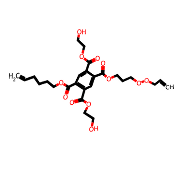 C=CCCCCOC(=O)c1cc(C(=O)OCCO)c(C(=O)OCCCOOCC=C)cc1C(=O)OCCO